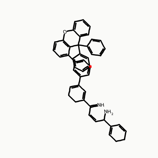 N=C(/C=C\C(N)C1=CCCC=C1)C1=CC(c2cccc(-c3cccc4c3C(c3ccccc3)(c3ccccc3)c3ccccc3O4)c2)=CCC1